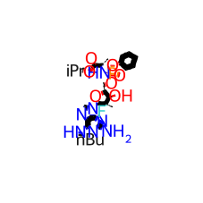 CCCCNc1nc(N)nc2c1ncn2[C@@H]1O[C@H](CO[P@@](=O)(N[C@@H](C)C(=O)OC(C)C)Oc2ccccc2)[C@@H](O)[C@@]1(C)F